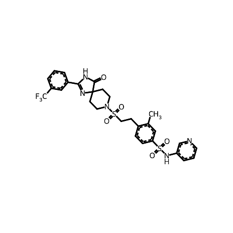 Cc1cc(S(=O)(=O)Nc2cccnc2)ccc1CCS(=O)(=O)N1CCC2(CC1)N=C(c1cccc(C(F)(F)F)c1)NC2=O